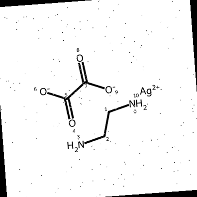 NCCN.O=C([O-])C(=O)[O-].[Ag+2]